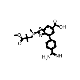 COC(=O)C(C)(C)CN(C)c1nc2c(-c3ccc(C(=N)N)cc3)cc(C(=O)O)cc2s1